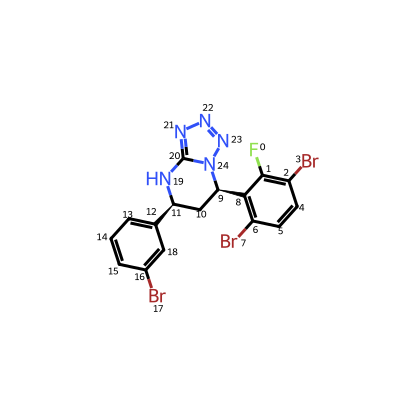 Fc1c(Br)ccc(Br)c1[C@H]1C[C@@H](c2cccc(Br)c2)Nc2nnnn21